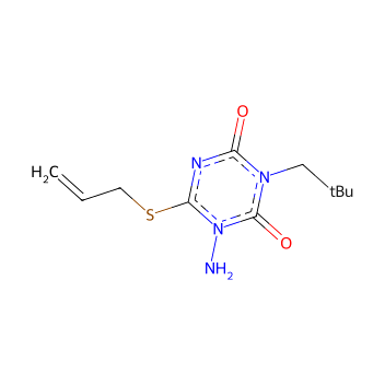 C=CCSc1nc(=O)n(CC(C)(C)C)c(=O)n1N